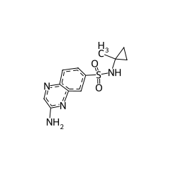 CC1(NS(=O)(=O)c2ccc3ncc(N)nc3c2)CC1